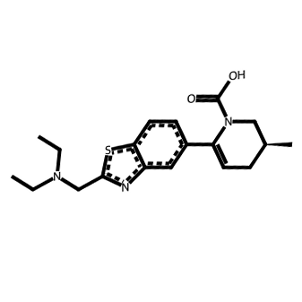 CCN(CC)Cc1nc2cc(C3=CC[C@H](C)CN3C(=O)O)ccc2s1